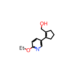 CCOc1ccc(C2=C(CO)CCC2)cn1